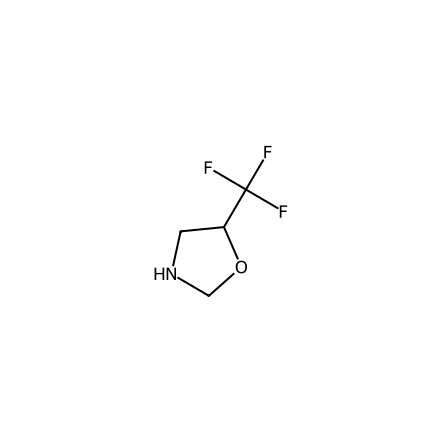 FC(F)(F)C1CNCO1